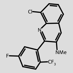 CNc1cc2cccc(Cl)c2nc1-c1cc(F)ccc1C(F)(F)F